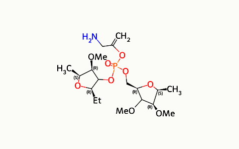 C=C(CN)OP(=O)(OC[C@H]1O[C@@H](C)[C@@H](OC)C1OC)OC1[C@@H](CC)O[C@@H](C)[C@H]1OC